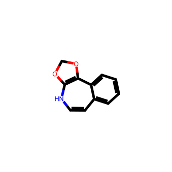 C1=Cc2ccccc2C2=C(N1)OCO2